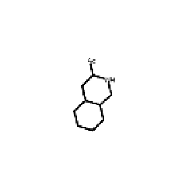 CC(=O)C1CC2CCCCC2CN1